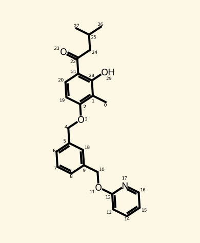 Cc1c(OCc2cccc(COc3ccccn3)c2)ccc(C(=O)CC(C)C)c1O